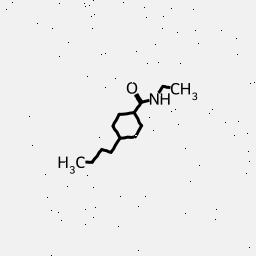 CCCCC1CCC(C(=O)NCC)CC1